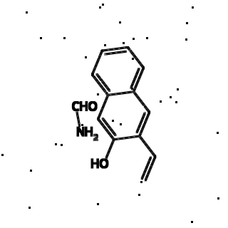 C=Cc1cc2ccccc2cc1O.NC=O